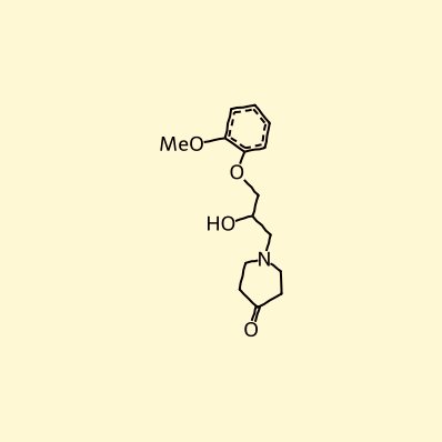 COc1ccccc1OCC(O)CN1CCC(=O)CC1